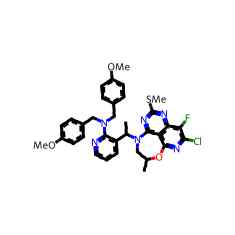 COc1ccc(CN(Cc2ccc(OC)cc2)c2ncccc2C(C)N2CC(C)Oc3nc(Cl)c(F)c4nc(SC)nc2c34)cc1